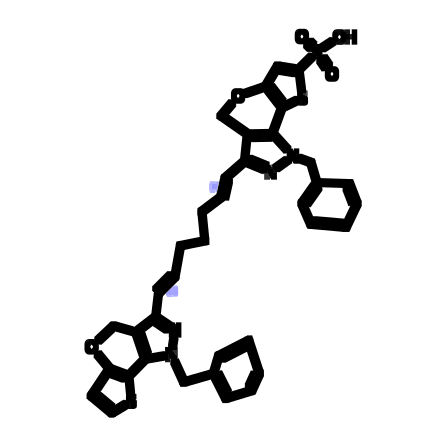 O=S(=O)(O)c1cc2c(s1)-c1c(c(/C=C/CCC/C=C/c3nn(Cc4ccccc4)c4c3COc3ccsc3-4)nn1Cc1ccccc1)CO2